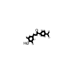 Cc1cc(/C=C/C(=O)c2ccc(C(C)C)cc2)cc(C)c1O